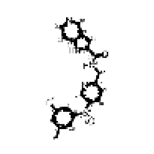 Cc1cc(F)cc([S+]([O-])c2ccc(CNC(=O)c3cc4cnccc4[nH]3)nc2)c1